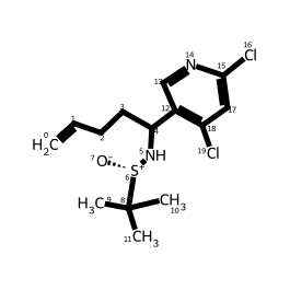 C=CCCC(N[S@@+]([O-])C(C)(C)C)c1cnc(Cl)cc1Cl